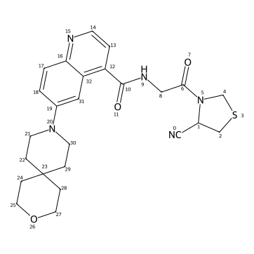 N#CC1CSCN1C(=O)CNC(=O)c1ccnc2ccc(N3CCC4(CCOCC4)CC3)cc12